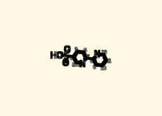 O=S(=O)(O)c1ccc(-c2ccccn2)nc1